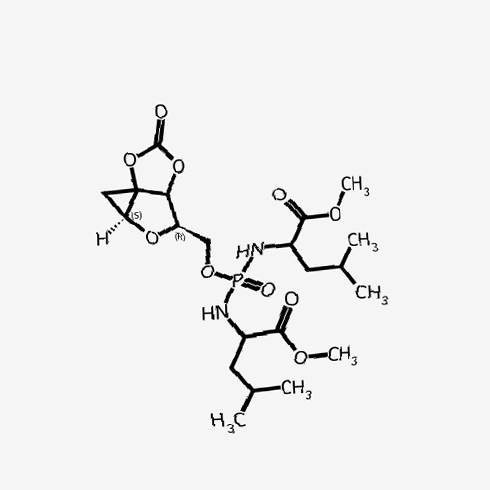 COC(=O)C(CC(C)C)NP(=O)(NC(CC(C)C)C(=O)OC)OC[C@H]1O[C@H]2CC23OC(=O)OC13